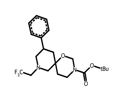 CC(C)(C)OC(=O)N1CCC2(CC(c3ccccc3)CN(CC(F)(F)F)C2)OC1